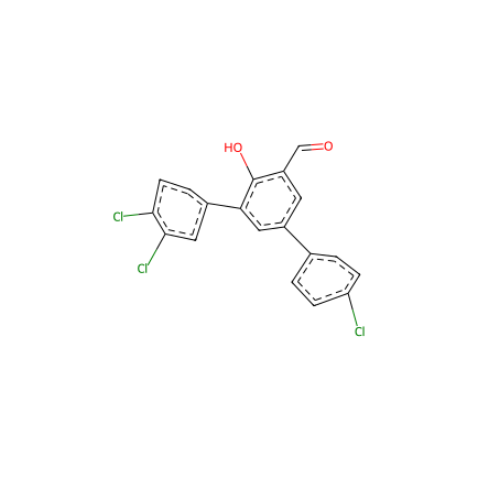 O=Cc1cc(-c2ccc(Cl)cc2)cc(-c2ccc(Cl)c(Cl)c2)c1O